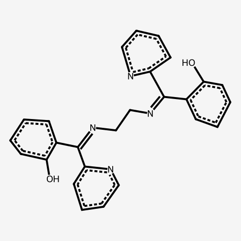 Oc1ccccc1C(=NCCN=C(c1ccccn1)c1ccccc1O)c1ccccn1